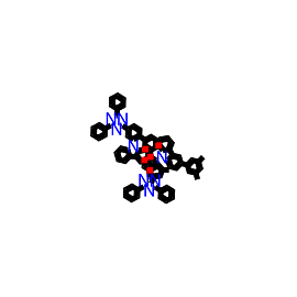 Cc1cc(C)cc(-c2ccc3c(c2)c2ccccc2n3-c2cc(-c3nc(-c4ccccc4)nc(-c4ccccc4)n3)ccc2-c2cccc(-c3ccc(-c4nc(-c5ccccc5)nc(-c5ccccc5)n4)cc3-n3c4ccccc4c4cc(-c5cc(C)cc(C)c5)ccc43)c2)c1